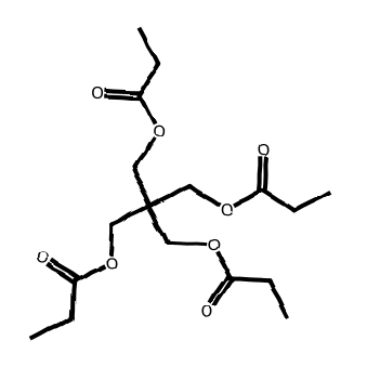 CCC(=O)OCC(COC(=O)CC)(COC(=O)CC)COC(=O)CC